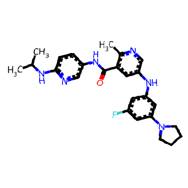 Cc1ncc(Nc2cc(F)cc(N3CCCC3)c2)cc1C(=O)Nc1ccc(NC(C)C)nc1